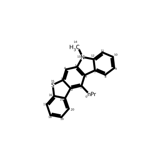 CCCc1c2c(cc3c1c1ccccc1n3C)sc1ccccc12